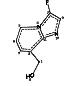 OCc1cccn2c(F)cnc12